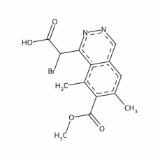 COC(=O)c1c(C)cc2cnnc(C(Br)C(=O)O)c2c1C